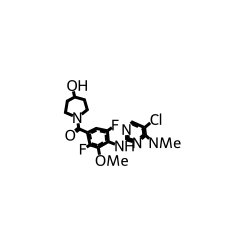 CNc1nc(Nc2c(F)cc(C(=O)N3CCC(O)CC3)c(F)c2OC)ncc1Cl